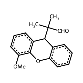 COc1cccc2c1Oc1ccccc1C2C(C)(C)C=O